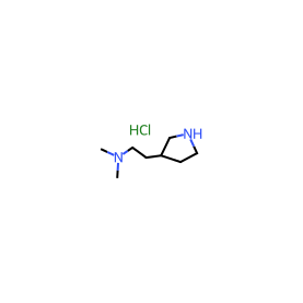 CN(C)CCC1CCNC1.Cl